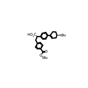 CC(C)(C)OC(=O)c1ccc(C[C@@H](C(=O)O)c2ccc(C3=CC[C@H](C(C)(C)C)CC3)cc2)cc1